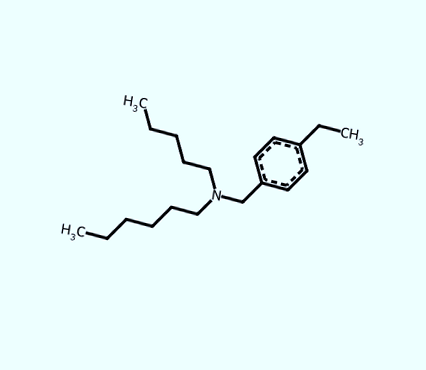 CCCCCCN(CCCCC)Cc1ccc(CC)cc1